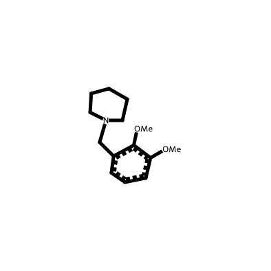 COc1cccc(CN2CCCCC2)c1OC